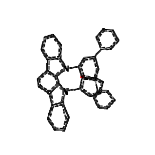 c1ccc(-c2cc(-c3ccccc3)cc(-n3c4ccccc4c4ccc5c6ccccc6n(-c6ccccc6)c5c43)c2)cc1